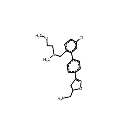 COCCN(C)Cc1ccc(Cl)cc1-c1ccc(C2=NOC(CN)C2)cc1